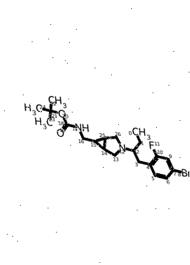 CCC(Cc1ccc(Br)cc1F)N1CC2C(CNC(=O)OC(C)(C)C)C2C1